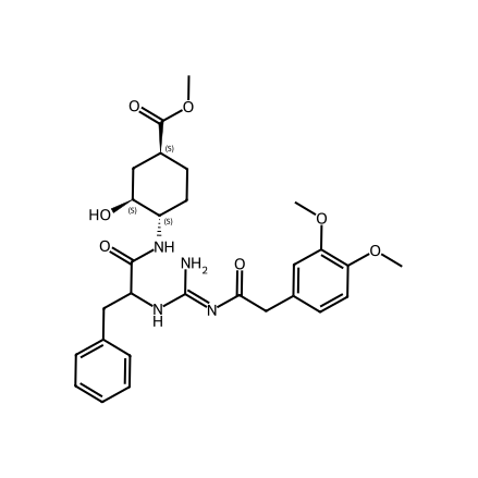 COC(=O)[C@H]1CC[C@H](NC(=O)C(Cc2ccccc2)NC(N)=NC(=O)Cc2ccc(OC)c(OC)c2)[C@@H](O)C1